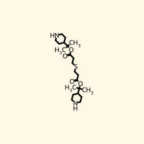 CC(C)(OC(=O)CCSCCC(=O)OC(C)(C)C1CCNCC1)C1CCNCC1